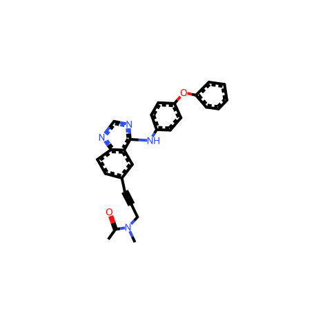 CC(=O)N(C)CC#Cc1ccc2ncnc(Nc3ccc(Oc4ccccc4)cc3)c2c1